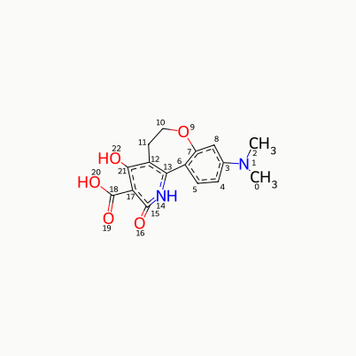 CN(C)c1ccc2c(c1)OCCc1c-2[nH]c(=O)c(C(=O)O)c1O